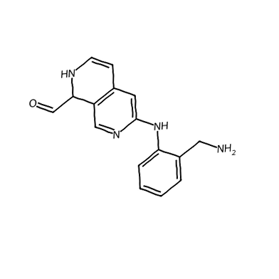 NCc1ccccc1Nc1cc2c(cn1)C(C=O)NC=C2